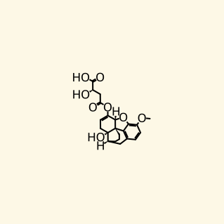 COc1ccc2c3c1O[C@H]1C(OC(=O)C[C@@H](O)C(=O)O)=CC[C@@]4(O)[C@H](CCC[C@]314)C2